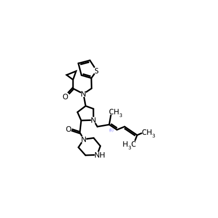 CC(C)=C/C=C(\C)CN1CC(N(Cc2cccs2)C(=O)C2CC2)CC1C(=O)N1CCNCC1